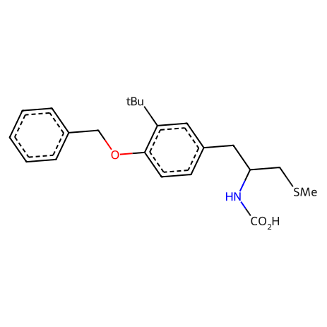 CSCC(Cc1ccc(OCc2ccccc2)c(C(C)(C)C)c1)NC(=O)O